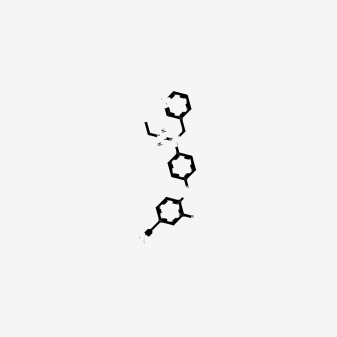 CCS(=O)(=O)N(Cc1cccnc1)c1ccc(Oc2ccc(C#N)cc2F)cc1